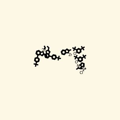 CC(C)(C)c1ccc([O-])c(C(C)(C)C)c1.CC(C)(C)c1ccc([O-])c(C(C)(C)C)c1.CC1=Cc2ccccc2[CH]1[Zr].CC1=NC2=CC=C3C2=C1[Si]3(C)C.C[CH]=[Zr]([CH3])([CH]1C(CC)=Cc2c(-c3ccc(C(C)(C)C)cc3)cccc21)[CH]1C(CC)=Cc2c(-c3ccc(C(C)(C)C)cc3)cccc21.[Cl-]